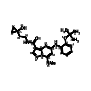 BC(B)(B)Oc1ncccc1Nc1cc(NC)n2ncc(C(=O)NCCC3(O)CC3)c2n1